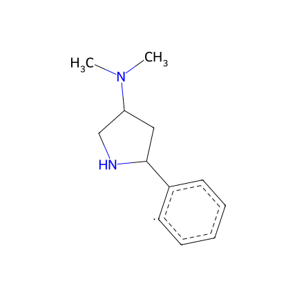 CN(C)C1CNC(c2[c]cccc2)C1